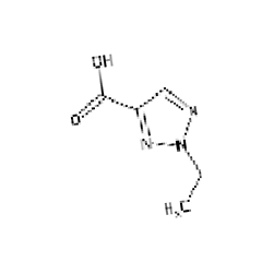 CCn1ncc(C(=O)O)n1